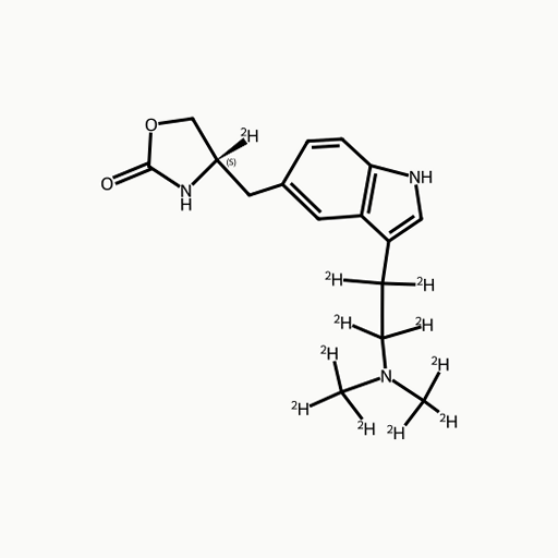 [2H]C([2H])([2H])N(C([2H])([2H])[2H])C([2H])([2H])C([2H])([2H])c1c[nH]c2ccc(C[C@@]3([2H])COC(=O)N3)cc12